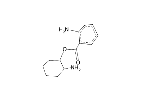 Nc1ccccc1C(=O)OC1CCCCC1N